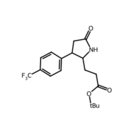 CC(C)(C)OC(=O)CCC1NC(=O)CC1c1ccc(C(F)(F)F)cc1